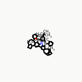 Cc1cccc(C)c1B1c2cc(C(C)(C)C)cc3c2-n2c4c1c1c(cc4c4cc5c(c(c42)B3c2c(C)cccc2C)C2CC3CC4CC5CC43C2)C2CCC(CCCC1C)C2